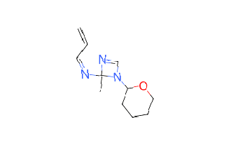 C=C/C=N\C1(C)N=CN1C1CCCCO1